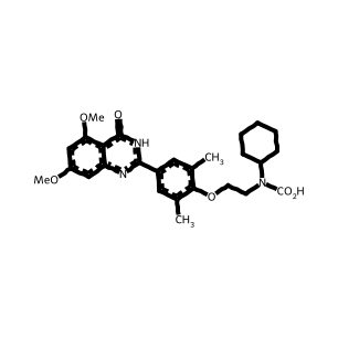 COc1cc(OC)c2c(=O)[nH]c(-c3cc(C)c(OCCN(C(=O)O)C4CCCCC4)c(C)c3)nc2c1